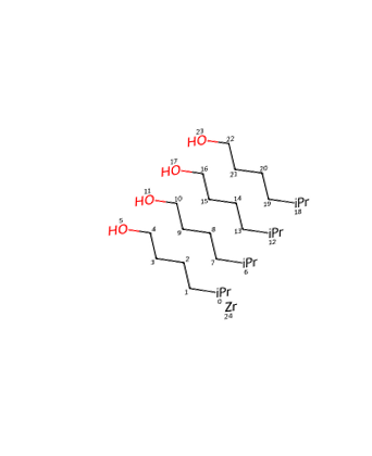 CC(C)CCCCO.CC(C)CCCCO.CC(C)CCCCO.CC(C)CCCCO.[Zr]